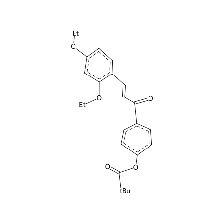 CCOc1ccc(/C=C/C(=O)c2ccc(OC(=O)C(C)(C)C)cc2)c(OCC)c1